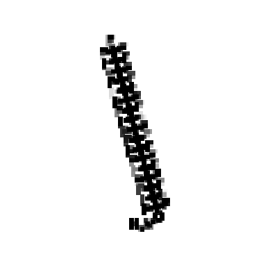 FC(F)(F)C(F)(F)C(F)(F)C(F)(F)C(F)(F)C(F)(F)C(F)(F)C(F)(F)C(F)(F)C(F)(F)C(F)(F)C(F)(F)C(F)(F)C(F)(F)C(F)(F)C(F)(F)C(F)(F)O[SiH3]